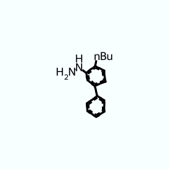 CCCCc1ccc(-c2ccccc2)cc1NN